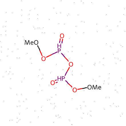 COO[PH](=O)O[PH](=O)OOC